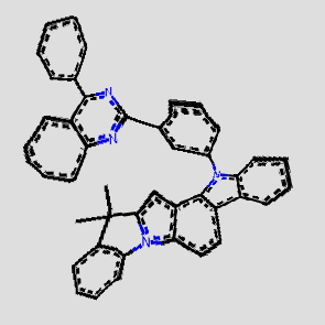 CC1(C)c2ccccc2-n2c1cc1c2ccc2c3ccccc3n(-c3cccc(-c4nc(-c5ccccc5)c5ccccc5n4)c3)c21